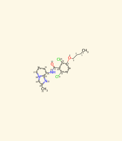 CCCCOc1ccc(Cl)c(C(=O)Nc2cccn3cc(C)nc23)c1Cl